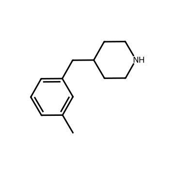 Cc1cccc(CC2CCNCC2)c1